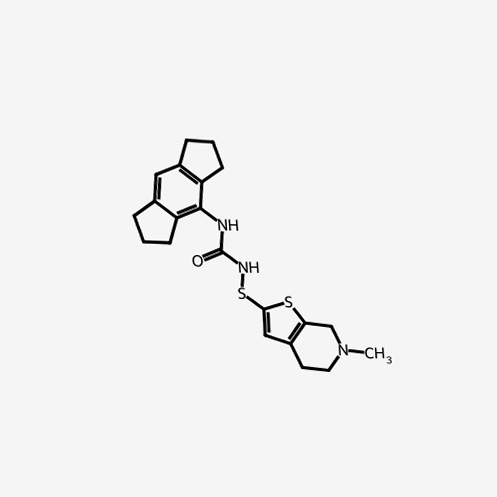 CN1CCc2cc(SNC(=O)Nc3c4c(cc5c3CCC5)CCC4)sc2C1